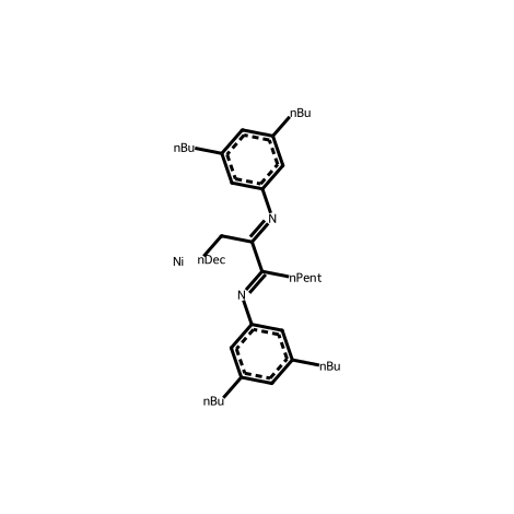 CCCCCCCCCCCC(=N\c1cc(CCCC)cc(CCCC)c1)/C(CCCCC)=N/c1cc(CCCC)cc(CCCC)c1.[Ni]